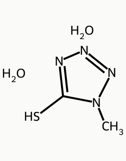 Cn1nnnc1S.O.O